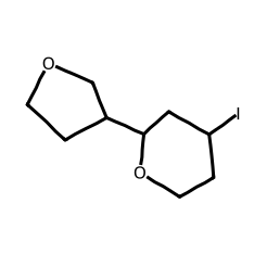 IC1CCOC(C2CCOC2)C1